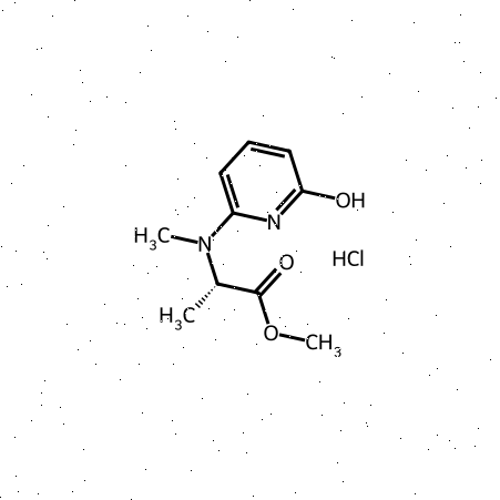 COC(=O)[C@H](C)N(C)c1cccc(O)n1.Cl